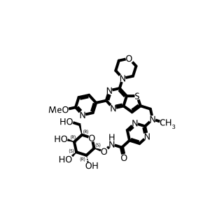 COc1ccc(-c2nc(N3CCOCC3)c3sc(CN(C)c4ncc(C(=O)NO[C@@H]5O[C@H](CO)[C@H](O)[C@H](O)[C@H]5O)cn4)cc3n2)cn1